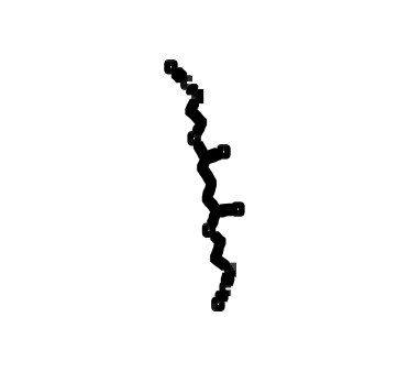 O=C=NCCOC(=O)CCCC(=O)OCCN=C=O